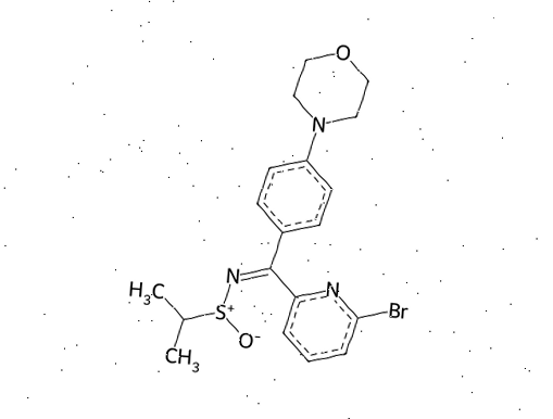 CC(C)[S+]([O-])/N=C(/c1ccc(N2CCOCC2)cc1)c1cccc(Br)n1